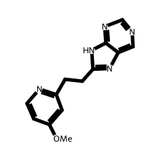 COc1ccnc(CCc2nc3cncnc3[nH]2)c1